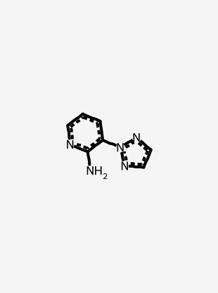 Nc1ncccc1-n1nccn1